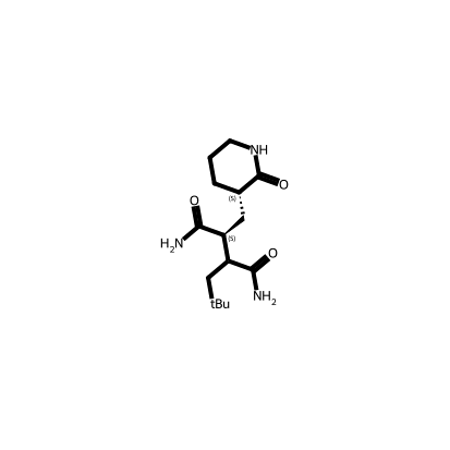 CC(C)(C)CC(C(N)=O)[C@H](C[C@@H]1CCCNC1=O)C(N)=O